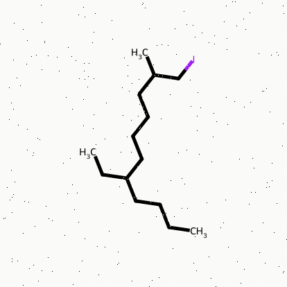 CCCCC(CC)CCCCC(C)CI